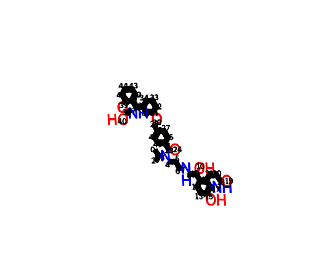 CC(C)N(CCCNC[C@@H](O)c1ccc(O)c2[nH]c(=O)ccc12)C(=O)c1ccc(COc2cccc(C(NC(=O)O)c3ccccc3)c2)cc1